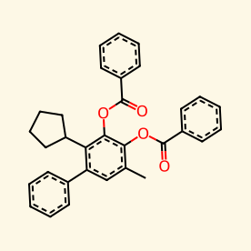 Cc1cc(-c2ccccc2)c(C2CCCC2)c(OC(=O)c2ccccc2)c1OC(=O)c1ccccc1